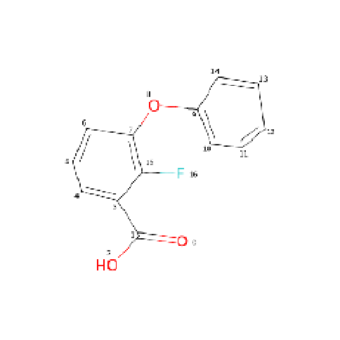 O=C(O)c1cccc(Oc2ccccc2)c1F